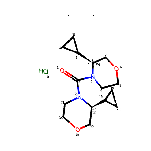 Cl.O=C(N1CCOC[C@@H]1C1CC1)N1CCOC[C@@H]1C1CC1